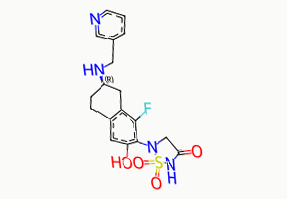 O=C1CN(c2c(O)cc3c(c2F)C[C@H](NCc2cccnc2)CC3)S(=O)(=O)N1